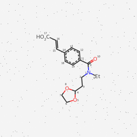 CCN(CCC1OCCO1)C(=O)c1ccc(/C=C/C(=O)O)cc1